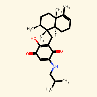 CC1=CCC[C@H]2[C@](C)(CC3=C(O)C(=O)C=C(NCC(C)C)C3=O)[C@@H](C)CC[C@]12C